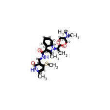 CSc1cc(C)[nH]c(=O)c1CNC(=O)c1c(C)n(C(C)C2OCC(N(C)C)CO2)c2ccccc12